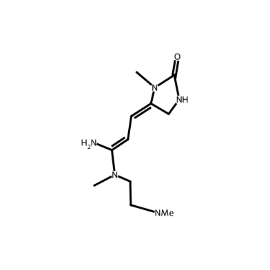 CNCCN(C)/C(N)=C/C=C1\CNC(=O)N1C